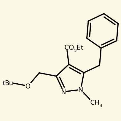 CCOC(=O)c1c(COC(C)(C)C)nn(C)c1Cc1ccccc1